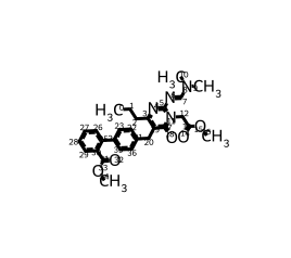 CCCc1nc(N=CN(C)C)n(CC(=O)OC)c(=O)c1Cc1ccc(-c2ccccc2C(=O)OC)cc1